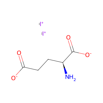 N[C@@H](CCC(=O)[O-])C(=O)[O-].[I+].[I+]